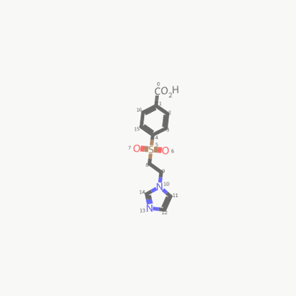 O=C(O)c1ccc(S(=O)(=O)CCn2ccnc2)cc1